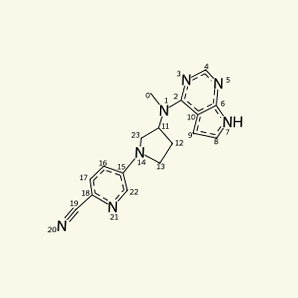 CN(c1ncnc2[nH]ccc12)C1CCN(c2ccc(C#N)nc2)C1